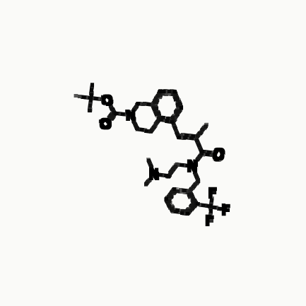 C/C(=C\c1cccc2c1CCN(C(=O)OC(C)(C)C)C2)C(=O)N(CCN(C)C)Cc1ccccc1C(F)(F)F